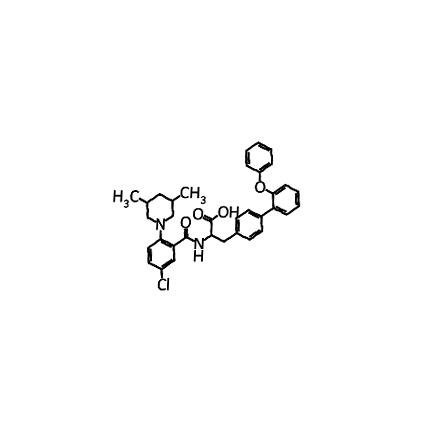 CC1CC(C)CN(c2ccc(Cl)cc2C(=O)NC(Cc2ccc(-c3ccccc3Oc3ccccc3)cc2)C(=O)O)C1